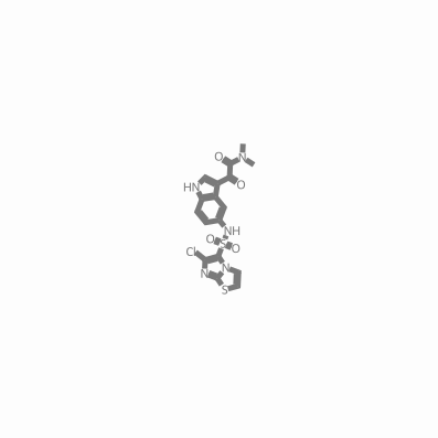 CN(C)C(=O)C(=O)c1c[nH]c2ccc(NS(=O)(=O)c3c(Cl)nc4sccn34)cc12